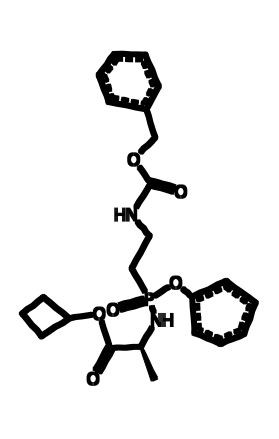 C[C@H](NP(=O)(CCNC(=O)OCc1ccccc1)Oc1ccccc1)C(=O)OC1CCC1